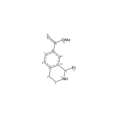 CCC1NCCc2ccc(C(=O)OC)cc21